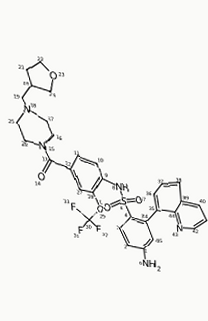 Nc1ccc(S(=O)(=O)Nc2ccc(C(=O)N3CCN(CC4CCOC4)CC3)cc2OC(F)(F)F)c(-c2cccc3cccnc23)c1